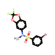 CN(c1ccc2c(c1)OC(F)(F)O2)S(=O)(=O)c1cccc(Br)c1